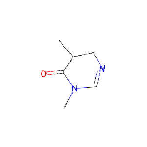 CC1CN=CN(C)C1=O